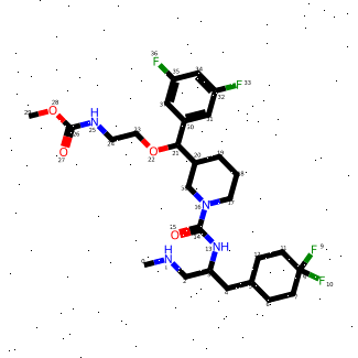 CNCC(CC1CCC(F)(F)CC1)NC(=O)N1CCCC(C(OCCNC(=O)OC)c2cc(F)cc(F)c2)C1